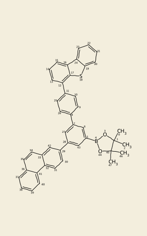 CC1(C)OB(c2cc(-c3ccc(-c4cccc5c4sc4ccccc45)cc3)cc(-c3ccc4c(ccc5ccccc54)c3)c2)OC1(C)C